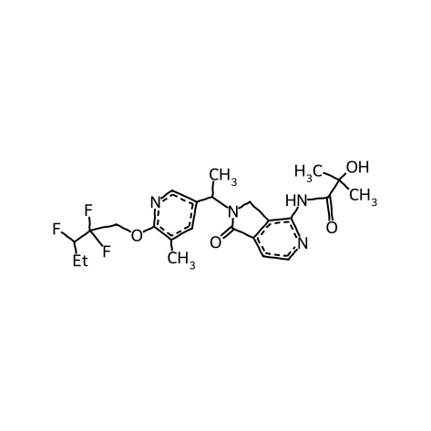 CCC(F)C(F)(F)COc1ncc(C(C)N2Cc3c(ccnc3NC(=O)C(C)(C)O)C2=O)cc1C